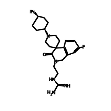 CC(C)[C@H]1CC[C@@H](N2CCC3(CC2)C(=O)N(CCNC(=N)N)Cc2cc(F)ccc23)CC1